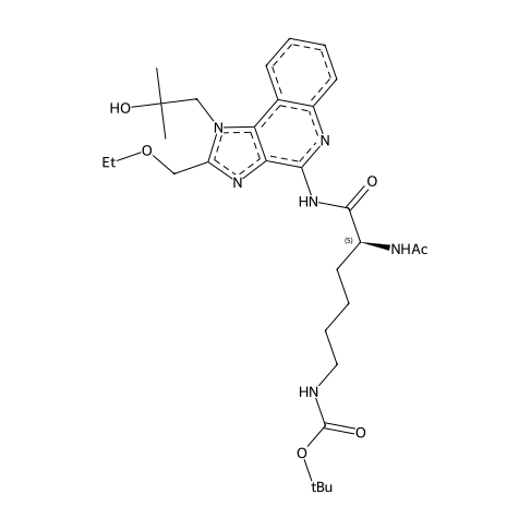 CCOCc1nc2c(NC(=O)[C@H](CCCCNC(=O)OC(C)(C)C)NC(C)=O)nc3ccccc3c2n1CC(C)(C)O